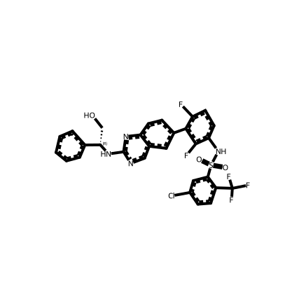 O=S(=O)(Nc1ccc(F)c(-c2ccc3nc(N[C@@H](CO)c4ccccc4)ncc3c2)c1F)c1cc(Cl)ccc1C(F)(F)F